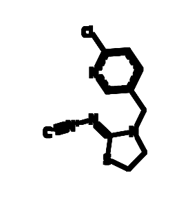 [C-]#[N+]/N=C1\SCCN1Cc1ccc(Cl)nc1